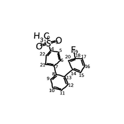 CS(=O)(=O)c1ccc(-c2ccccc2-c2cccc(F)c2)cc1